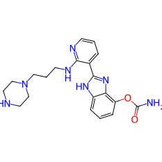 NC(=O)Oc1cccc2[nH]c(-c3cccnc3NCCCN3CCNCC3)nc12